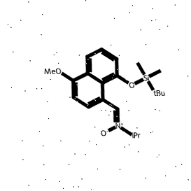 COc1ccc(/C=[N+](\[O-])C(C)C)c2c(O[Si](C)(C)C(C)(C)C)cccc12